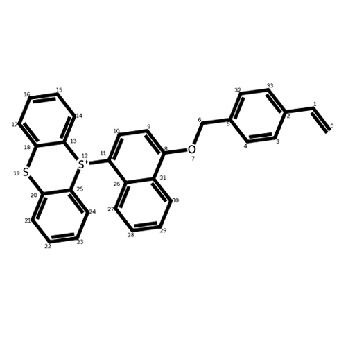 C=Cc1ccc(COc2ccc([S+]3c4ccccc4Sc4ccccc43)c3ccccc23)cc1